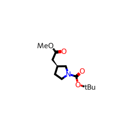 COC(=O)C[C@@H]1CCN(C(=O)OC(C)(C)C)C1